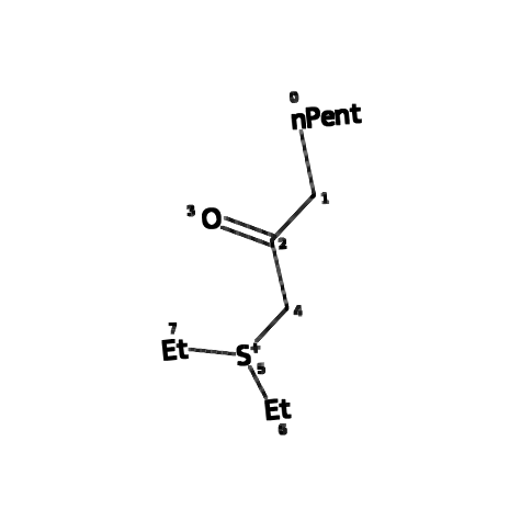 CCCCCCC(=O)C[S+](CC)CC